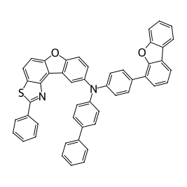 c1ccc(-c2ccc(N(c3ccc(-c4cccc5c4oc4ccccc45)cc3)c3ccc4oc5ccc6sc(-c7ccccc7)nc6c5c4c3)cc2)cc1